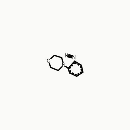 N#N.c1ccc(N2CCOCC2)cc1